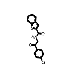 O=C(CNC(=O)c1cc2ccccc2s1)c1ccc(Cl)cc1